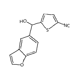 [C-]#[N+]c1ccc(C(O)c2ccc3occc3c2)s1